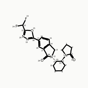 O=C1CCCN1[C@H]1CCCC[C@@H]1N1Cc2ccc(-c3nnc(C(F)F)o3)cc2C1=O